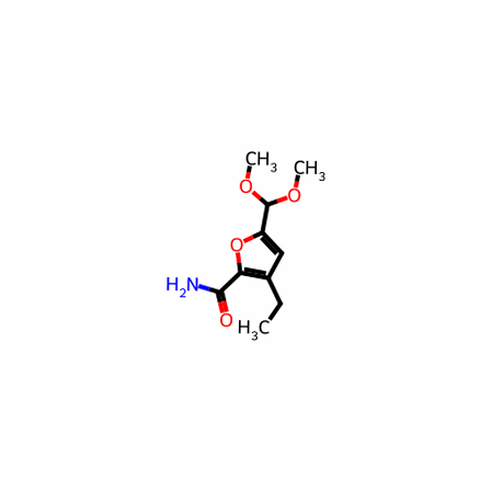 CCc1cc(C(OC)OC)oc1C(N)=O